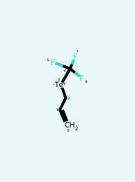 C=CC[Te+]C(F)(F)F